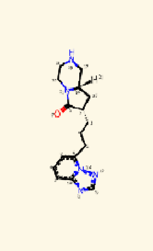 O=C1[C@@H](CCCc2cccc3ncnn23)C[C@H]2CNCCN12